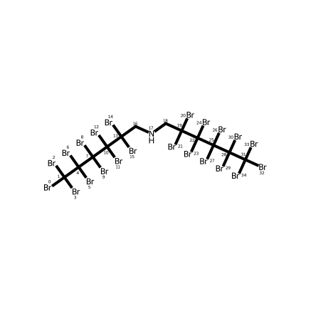 BrC(Br)(Br)C(Br)(Br)C(Br)(Br)C(Br)(Br)C(Br)(Br)CNCC(Br)(Br)C(Br)(Br)C(Br)(Br)C(Br)(Br)C(Br)(Br)Br